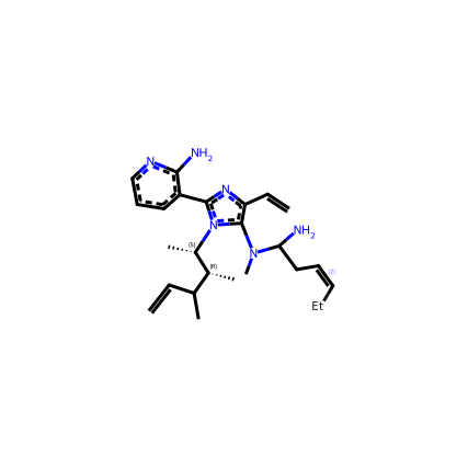 C=Cc1nc(-c2cccnc2N)n([C@@H](C)[C@H](C)C(C)C=C)c1N(C)C(N)C/C=C\CC